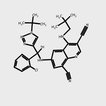 [2H]C(Nc1cc(C#N)c2ncc(C#N)c(NCC(C)(C)C)c2c1)(c1cn(C(C)(C)C)nn1)c1ccccc1Cl